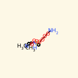 CN(C)c1ccc2cc(C(=O)N[S+]([O-])c3ccccc3OCCOCCOCCOCCN)oc2c1